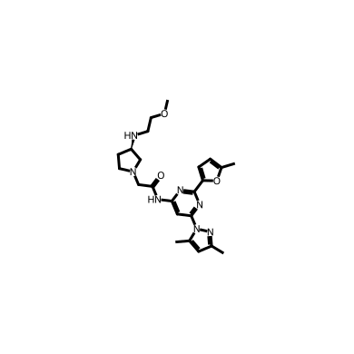 COCCN[C@@H]1CCN(CC(=O)Nc2cc(-n3nc(C)cc3C)nc(-c3ccc(C)o3)n2)C1